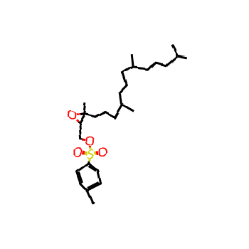 Cc1ccc(S(=O)(=O)OCC2OC2(C)CCCC(C)CCCC(C)CCCC(C)C)cc1